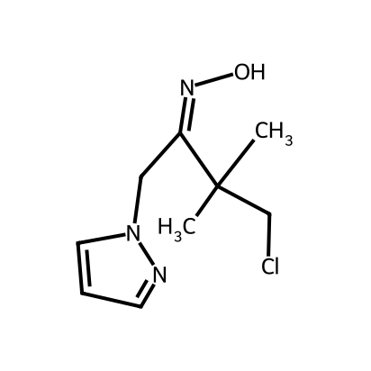 CC(C)(CCl)/C(Cn1cccn1)=N\O